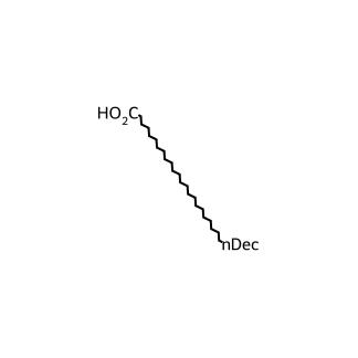 CCCCCCCCCCCCCCCCCCCCCCCCCCCCCCCCC(=O)O